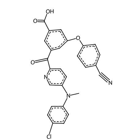 CN(c1ccc(Cl)cc1)c1ccc(C(=O)c2cc(Oc3ccc(C#N)cc3)cc(C(=O)O)c2)nc1